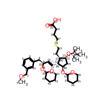 COCc1cccc(C[C@@H](/C=C/[C@@H]2[C@@H](CCSCCCC(=O)O)[C@@H](O[Si](C)(C)C)C[C@H]2OC2CCCCO2)OC2CCCCO2)c1